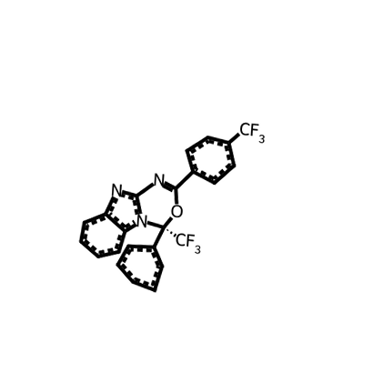 FC(F)(F)c1ccc(C2=Nc3nc4ccccc4n3[C@@](c3ccccc3)(C(F)(F)F)O2)cc1